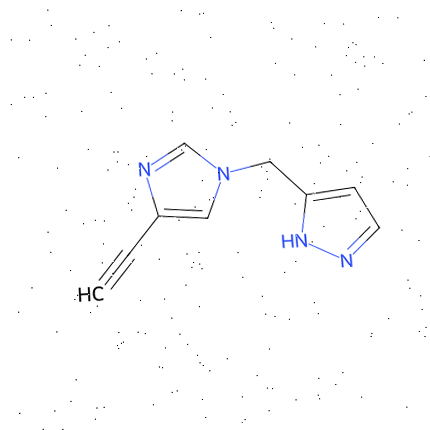 C#Cc1cn(Cc2ccn[nH]2)cn1